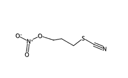 N#CSCCCO[N+](=O)[O-]